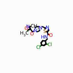 Cc1noc(C)c1C(=O)N1CCN(Cc2ncc(C(=O)NCc3ccc(Cl)cc3Cl)s2)CC1